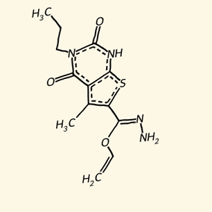 C=CO/C(=N\N)c1sc2[nH]c(=O)n(CCC)c(=O)c2c1C